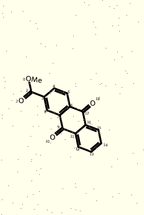 COC(=O)c1ccc2c(c1)C(=O)c1ccccc1C2=O